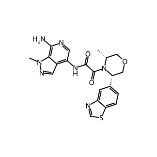 C[C@@H]1COC[C@H](c2ccc3scnc3c2)N1C(=O)C(=O)Nc1cnc(N)c2c1cnn2C